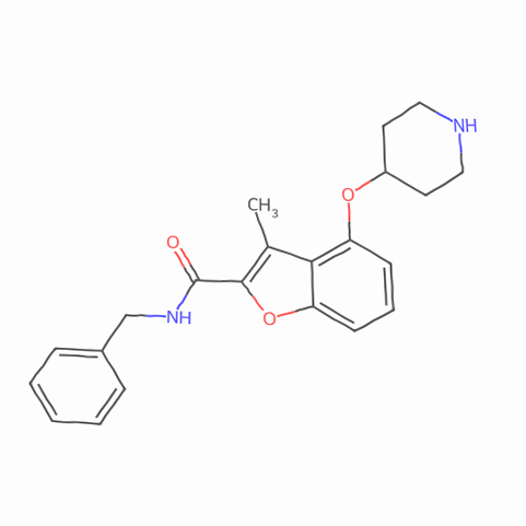 Cc1c(C(=O)NCc2ccccc2)oc2cccc(OC3CCNCC3)c12